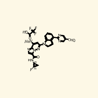 CNc1cc(N2CCc3c(-c4ncc(C=O)cn4)cccc32)nn2c(C(=O)N[C@@H]3C[C@@H]3F)cnc12.O=C(O)C(F)(F)F